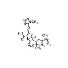 Cn1nnnc1SC=C1S[C@@H]2[C@H]([C@@H](CO[SiH](C)C)C(C)(C)C)C(=O)N2C1C(=O)O